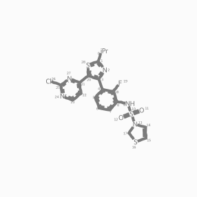 CC(C)c1nc(-c2cccc(NS(=O)(=O)N3C=CSC3)c2F)c(-c2ccnc(Cl)n2)s1